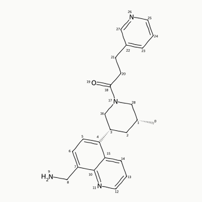 C[C@@H]1C[C@H](c2ccc(CN)c3ncccc23)CN(C(=O)CCc2cccnc2)C1